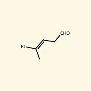 CCC(C)=CCC=O